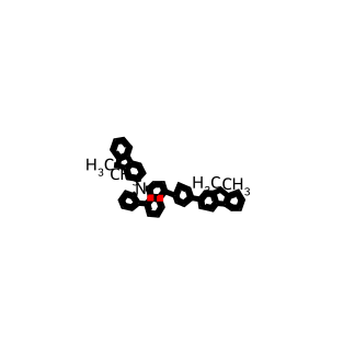 CC1(C)c2ccccc2-c2ccc(-c3ccc(-c4ccc(N(c5ccc6c(c5)C(C)(C)c5ccccc5-6)c5ccccc5-c5ccccc5)cc4)cc3)cc21